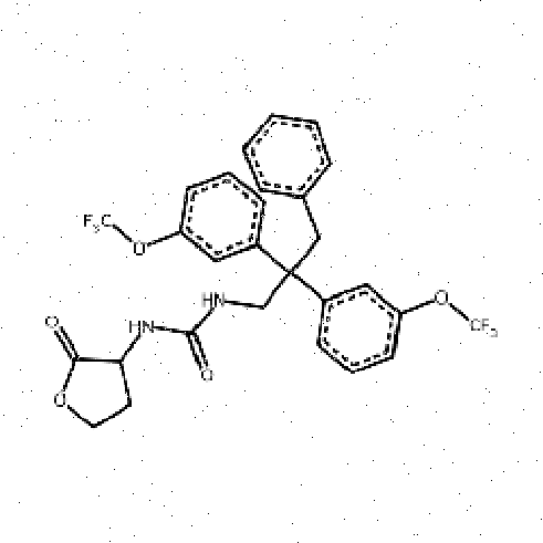 O=C(NCC(Cc1ccccc1)(c1cccc(OC(F)(F)F)c1)c1cccc(OC(F)(F)F)c1)NC1CCOC1=O